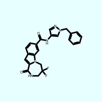 O=C(Nc1cnn(Cc2ccccc2)c1)c1ccc2cc3n(c2c1)CC(F)(F)CNC3=O